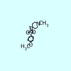 COc1ccc(S(=O)(=O)N2CC23CCN(C)CC3)cc1